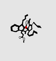 C=C/C=C\CC1C[C@H](CCC)C(C=C)C1(CO)C(C)C1(CCC(=O)OC)C(I)C(CCC=C)C2CC=CCC21